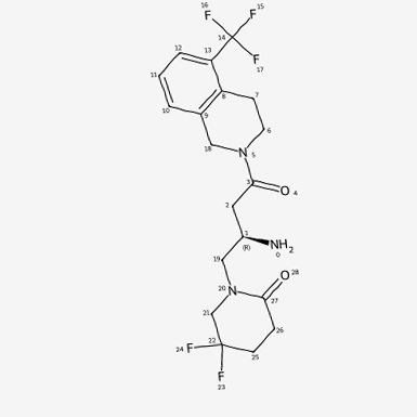 N[C@H](CC(=O)N1CCc2c(cccc2C(F)(F)F)C1)CN1CC(F)(F)CCC1=O